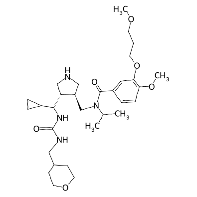 COCCCOc1cc(C(=O)N(C[C@@H]2CNC[C@H]2C(NC(=O)NCC2CCOCC2)C2CC2)C(C)C)ccc1OC